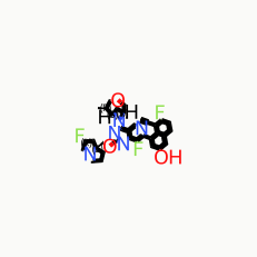 C#Cc1c(F)ccc2cc(O)cc(-c3ncc4c(N5[C@H]6COC[C@H](C)[C@@H]5C6)nc(OC[C@@]56CCCN5C[C@H](F)C6)nc4c3F)c12